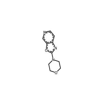 c1cc2nc(N3CCOCC3)oc2cn1